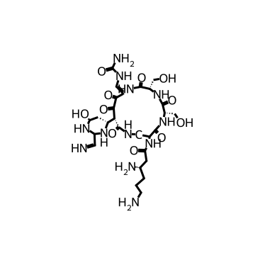 N=CC1N[C@@H](O)C[C@H]([C@H]2C(=O)NCC(NC(=O)C[C@@H](N)CCCN)C(=O)N[C@@H](CO)C(=O)N[C@@H](CO)C(=O)N/C(=C\NC(N)=O)C(=O)C2=O)N1